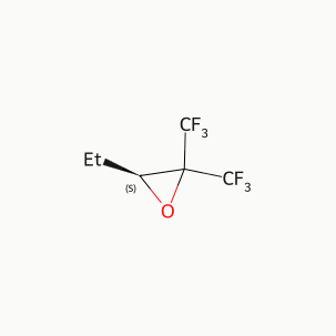 CC[C@@H]1OC1(C(F)(F)F)C(F)(F)F